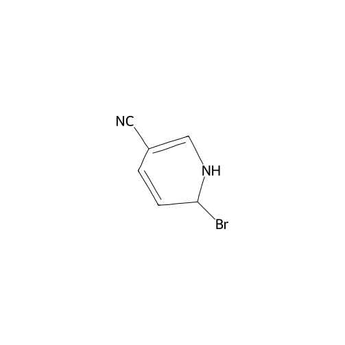 N#CC1=CNC(Br)C=C1